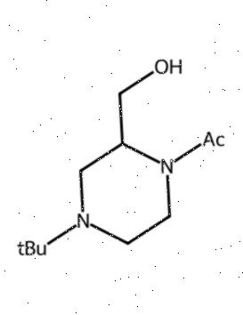 CC(=O)N1CCN(C(C)(C)C)CC1CO